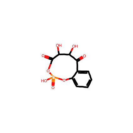 O=C1OP(=O)(O)Oc2ccccc2C(=O)C(O)C1O